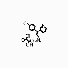 CN(C)CC=C(c1ccc(Cl)cc1)c1cccnc1.O=C(O)C(=O)O